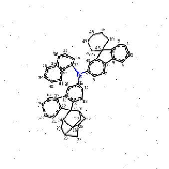 c1ccc2c(c1)-c1ccc(N(c3ccc4c(c3)-c3ccccc3C43C4CC5CC(C4)CC3C5)c3cccc4ccccc34)cc1C21CCCCC1